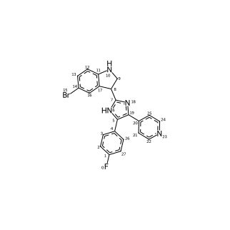 Fc1ccc(-c2[nH]c(C3CNc4ccc(Br)cc43)nc2-c2ccncc2)cc1